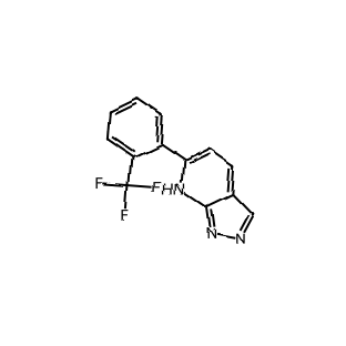 FC(F)(F)c1ccccc1-c1ccc2cnnc-2[nH]1